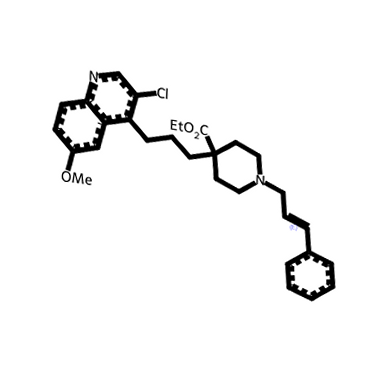 CCOC(=O)C1(CCCc2c(Cl)cnc3ccc(OC)cc23)CCN(C/C=C/c2ccccc2)CC1